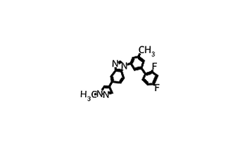 Cc1cc(-c2ccc(F)cc2F)cc(-n2cnc3cc(-c4cnn(C)c4)ccc32)c1